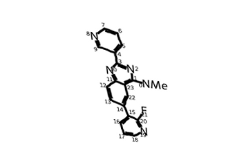 CNc1nc(-c2cccnc2)nc2ccc(-c3cccnc3F)cc12